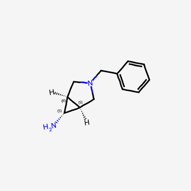 N[C@@H]1[C@H]2CN(Cc3ccccc3)C[C@@H]12